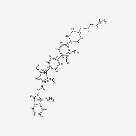 CCCCCC1CCC(c2ccc(-c3ccc(N4C(=O)S/C(=C\C=C5\Sc6ccccc6N5C)C4=O)cc3)c(F)c2F)CC1